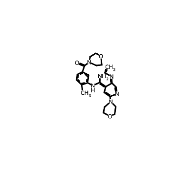 C=C/N=C1/C=NC(N2CCOCC2)=C/C1=C(/N)Nc1cc(C(=O)N2CCOCC2)ccc1C